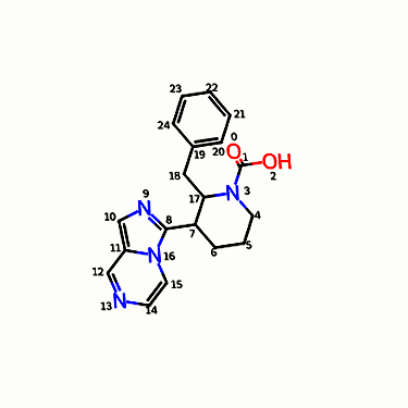 O=C(O)N1CCCC(c2ncc3cnccn23)C1Cc1ccccc1